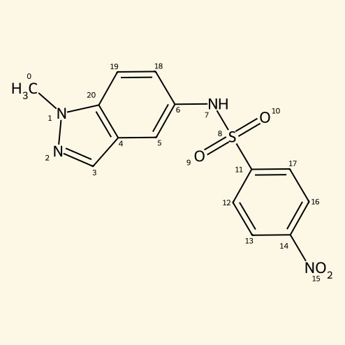 Cn1ncc2cc(NS(=O)(=O)c3ccc([N+](=O)[O-])cc3)ccc21